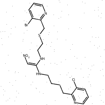 O=[N+]([O-])C=C(NCCCCc1ncccc1Cl)NCCSCc1ncccc1Br